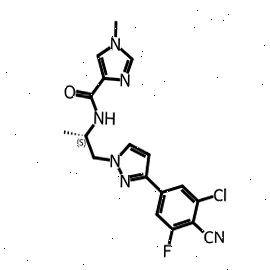 C[C@@H](Cn1ccc(-c2cc(F)c(C#N)c(Cl)c2)n1)NC(=O)c1cn(C)cn1